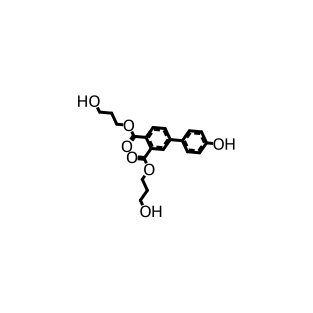 O=C(OCCCO)c1ccc(-c2ccc(O)cc2)cc1C(=O)OCCCO